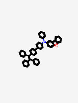 c1ccc(C(=C(c2ccccc2)c2ccc(-c3ccc(N(c4ccccc4)c4ccc5oc6ccccc6c5c4)cc3)cc2)c2ccccc2)cc1